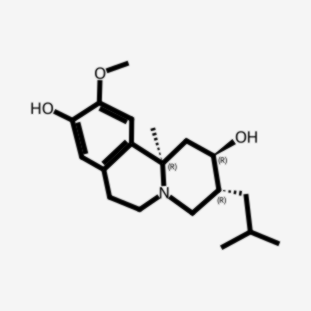 COc1cc2c(cc1O)CCN1C[C@@H](CC(C)C)[C@H](O)C[C@]21C